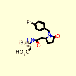 CC[C@@H](C)[C@@H](CC(=O)O)NC(=O)CC1CCC(=O)N1Cc1ccc(C(C)C)cc1